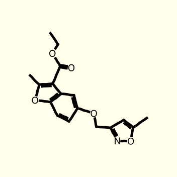 CCOC(=O)c1c(C)oc2ccc(OCc3cc(C)on3)cc12